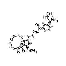 CCn1nc(CCCOC(=O)c2cccc(C(N)NC)c2)c2c1C(=O)NCCCOCCC2